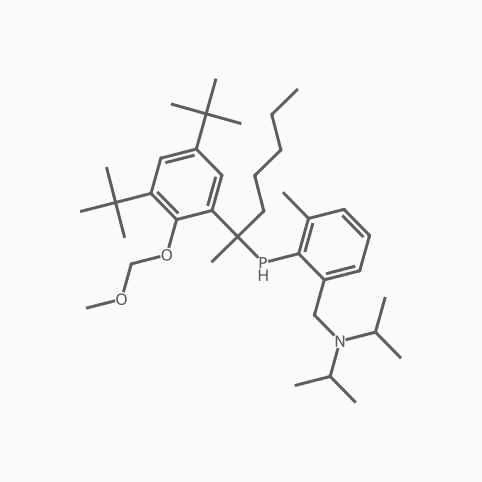 CCCCCC(C)(Pc1c(C)cccc1CN(C(C)C)C(C)C)c1cc(C(C)(C)C)cc(C(C)(C)C)c1OCOC